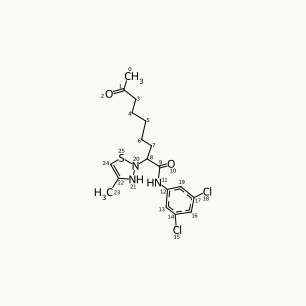 CC(=O)CCCCCC(C(=O)Nc1cc(Cl)cc(Cl)c1)N1NC(C)=CS1